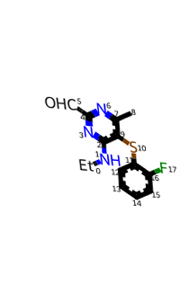 CCNc1nc(C=O)nc(C)c1Sc1ccccc1F